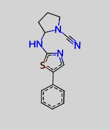 N#CN1CCCC1Nc1ncc(-c2ccccc2)s1